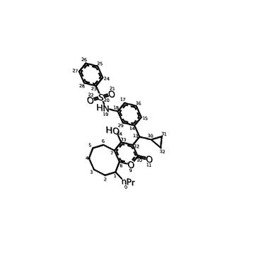 CCCC1CCCCCc2c1oc(=O)c(C(c1cccc(NS(=O)(=O)c3ccccc3)c1)C1CC1)c2O